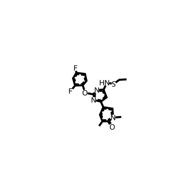 CCSNc1cc(-c2cc(C)c(=O)n(C)c2)nc(Oc2ccc(F)cc2F)n1